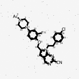 CC(=O)N1CCN(c2ccc(OCc3cc4cnc(C#N)nc4n3CCc3ccc(Cl)cc3)c(F)c2)CC1